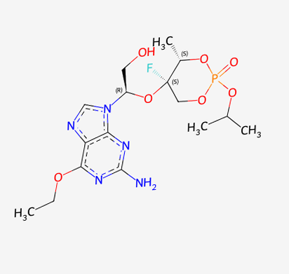 CCOc1nc(N)nc2c1ncn2[C@@H](CO)O[C@]1(F)COP(=O)(OC(C)C)O[C@H]1C